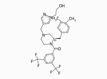 Cc1ccc(C[C@@H]2CN(Cc3cnn(CCO)c3)CCN2C(=O)c2cc(C(F)(F)F)cc(C(F)(F)F)c2)cc1C